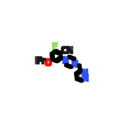 CC(C)Oc1cc(F)c(C#N)c(N2CCN(Cc3cccnn3)CC2)c1